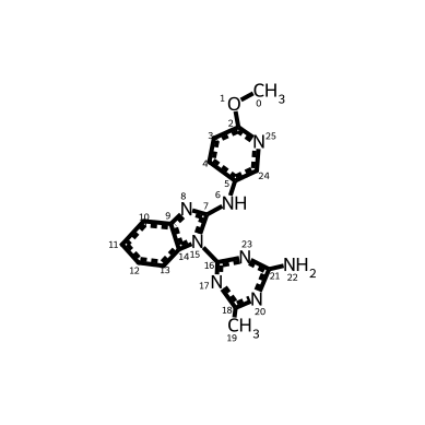 COc1ccc(Nc2nc3ccccc3n2-c2nc(C)nc(N)n2)cn1